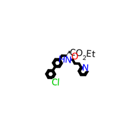 CCOC(=O)C[C@@H](Cc1ccc(-c2cccc(Cl)c2)cc1)NC(=O)CCc1ccccn1